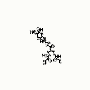 C=CC(=O)NCCN(CCNC(=O)C=C)C(=O)CCNCc1ccc(O)c(O)c1